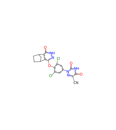 N#Cc1nn(-c2cc(Cl)c(Oc3n[nH]c(=O)c4c3C3CCC4C3)c(Cl)c2)c(=O)[nH]c1=O